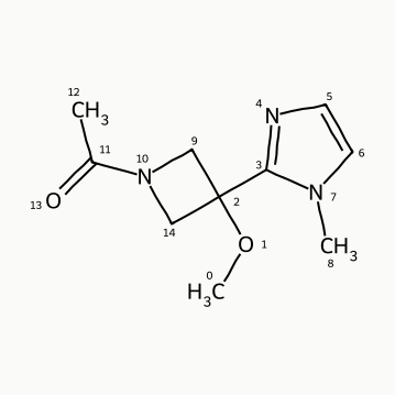 COC1(c2nccn2C)CN(C(C)=O)C1